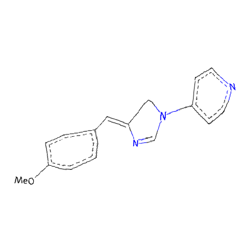 COc1ccc(C=C2CN(c3ccncc3)C=N2)cc1